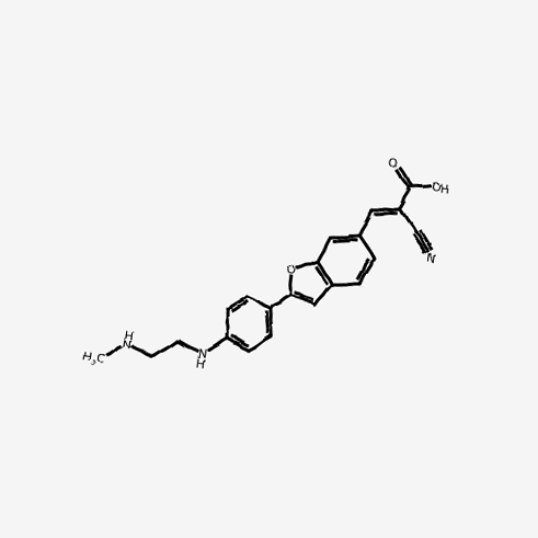 CNCCNc1ccc(-c2cc3ccc(/C=C(\C#N)C(=O)O)cc3o2)cc1